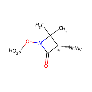 CC(=O)N[C@@H]1C(=O)N(OS(=O)(=O)O)C1(C)C